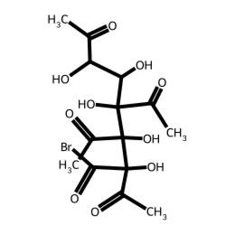 CC(=O)C(O)C(O)C(O)(C(C)=O)C(O)(C(C)=O)C(O)(C(C)=O)C(=O)Br